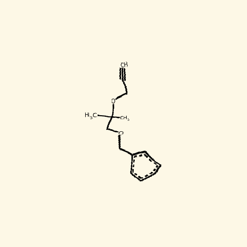 C#CCOC(C)(C)COCc1ccccc1